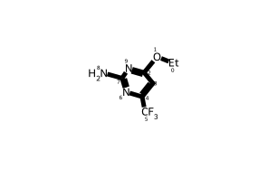 CCOc1[c]c(C(F)(F)F)nc(N)n1